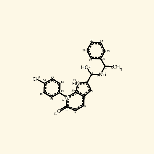 CC(NC(O)c1cc2ccc(=O)n(-c3ccc(Cl)cc3)c2[nH]1)c1ccccc1